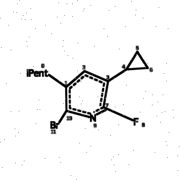 CCCC(C)c1cc(C2CC2)c(F)nc1Br